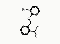 CC(C)c1ccccc1OCc1ccccc1C(Cl)Cl